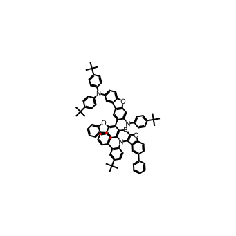 CC(C)(C)c1ccc(N2B3c4oc5ccc(-c6ccccc6)cc5c4N(c4ccc(C(C)(C)C)cc4-c4ccccc4)c4cc5c(oc6ccccc65)c(c43)-c3cc4c(cc32)oc2ccc(N(c3ccc(C(C)(C)C)cc3)c3ccc(C(C)(C)C)cc3)cc24)cc1